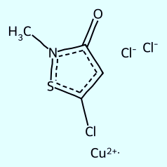 Cn1sc(Cl)cc1=O.[Cl-].[Cl-].[Cu+2]